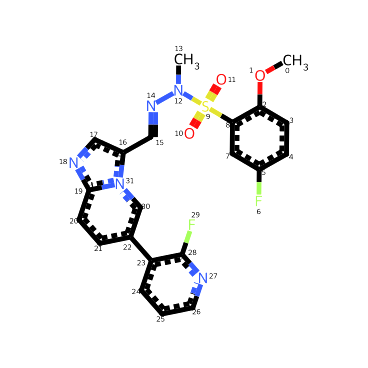 COc1ccc(F)cc1S(=O)(=O)N(C)/N=C/c1cnc2ccc(-c3cccnc3F)cn12